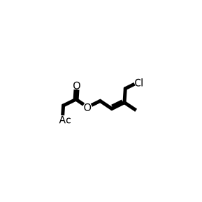 CC(=O)CC(=O)OCC=C(C)CCl